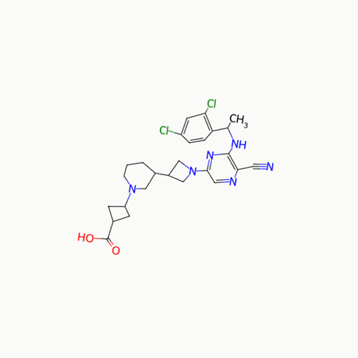 CC(Nc1nc(N2CC(C3CCCN(C4CC(C(=O)O)C4)C3)C2)cnc1C#N)c1ccc(Cl)cc1Cl